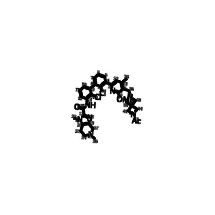 COc1nc(-c2cccc(-c3cccc(NC(=O)c4nc5c(n4C)CCN(C)C5)c3Cl)c2Cl)cc(C)c1CN1CC2(C1)CN(C(C)=O)C2